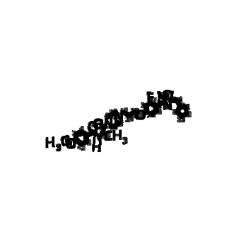 COc1ccc(C(=O)N[C@H](C)C(=O)N2CCN(CCCOc3ccc(-c4noc(CC5CCCC5)n4)c(F)c3)CC2)cc1